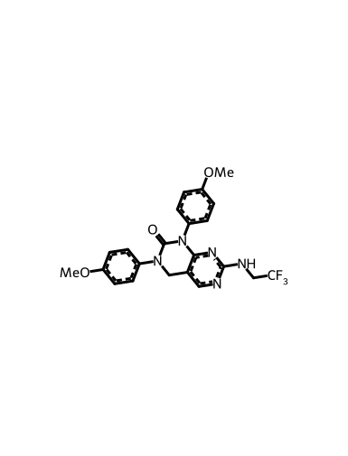 COc1ccc(N2Cc3cnc(NCC(F)(F)F)nc3N(c3ccc(OC)cc3)C2=O)cc1